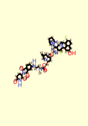 C#Cc1c(F)ccc2cc(O)cc(-c3ncc4c(N5CC6CCC(C5)N6)nc(OC[C@@]56CC[C@@H](COC(=O)N(C)CCNc7ccc8c(c7)C(=O)N(C7CCC(=O)NC7=O)C8=O)N5CC(=C)C6)nc4c3F)c12